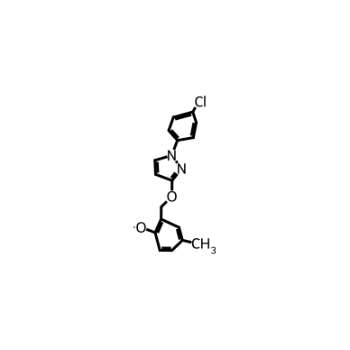 Cc1ccc([O])c(COc2ccn(-c3ccc(Cl)cc3)n2)c1